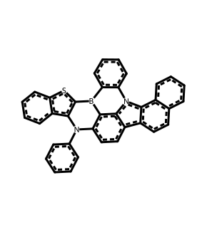 c1ccc(N2c3ccc4c5ccc6ccccc6c5n5c4c3B(c3ccccc3-5)c3sc4ccccc4c32)cc1